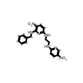 O=[N+]([O-])c1ccc(NCCNc2ccc([N+](=O)[O-])c(NCc3ccccc3)n2)nc1